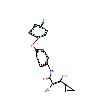 N#CC(C(=O)Nc1ccc(Oc2ccc(Br)cc2)cc1)=C(O)C1CC1